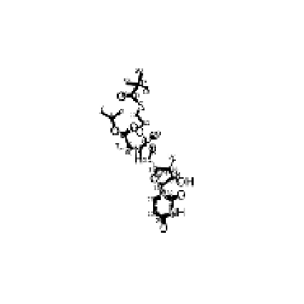 CC(C)OC(=O)[C@@H](C)NP(=O)(OCCSC(=O)C(C)(C)C)OC[C@H]1O[C@@H](n2ccc(=O)[nH]c2=O)[C@H](O)[C@@H]1C